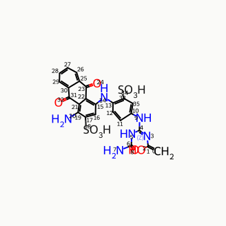 C=C(O)/N=C(\NC(N)=O)Nc1ccc(Nc2cc(S(=O)(=O)O)c(N)c3c2C(=O)c2ccccc2C3=O)c(S(=O)(=O)O)c1